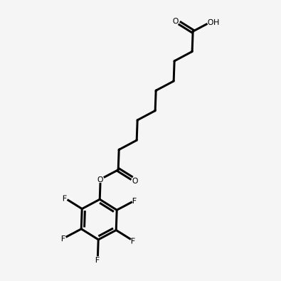 O=C(O)CCCCCCCCC(=O)Oc1c(F)c(F)c(F)c(F)c1F